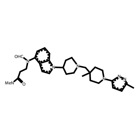 CNC(=O)CCN(C=O)c1cccc2c1ccn2C1CCN(CC2(C)CCN(c3ccc(C)nn3)CC2)CC1